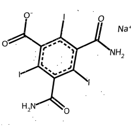 NC(=O)c1c(I)c(C(N)=O)c(I)c(C(=O)[O-])c1I.[Na+]